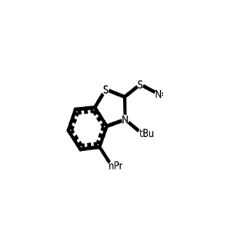 CCCc1cccc2c1N(C(C)(C)C)C(S[N])S2